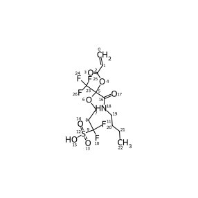 C=CC(=O)OC(OCCC(F)(F)S(=O)(=O)O)(C(=O)NCCCC)C(F)(F)F